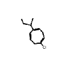 CCC(C)C1=C/C/C=C(/Cl)C/C=C\1